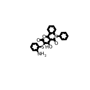 Nc1ccccc1Sc1c(O)c2c(=O)n(-c3ccccc3)c3ccccc3c2oc1=O